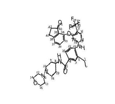 CCc1cc(C(=O)NC2CCN(N3CCOCC3)CC2)ccc1Nc1ncc(C(F)(F)F)c(Oc2cccc3c2C(=O)CC3)n1